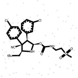 CC(C)(C)C[C@@H]1N[C@H](OC(=O)NCCS(C)(=O)=O)[C@H](c2cccc(Cl)c2)[C@@]1(C#N)c1ccc(Cl)cc1